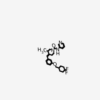 CC1CN(C(=O)Nc2cccnc2)CCC1=Cc1cccc(OCC2CCC(F)(F)CC2)c1